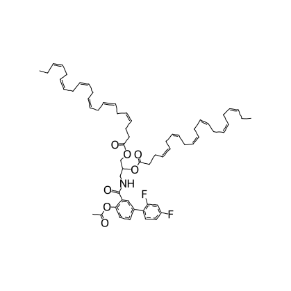 CC/C=C\C/C=C\C/C=C\C/C=C\C/C=C\C/C=C\CCC(=O)OCC(CNC(=O)c1cc(-c2ccc(F)cc2F)ccc1OC(C)=O)OC(=O)CC/C=C\C/C=C\C/C=C\C/C=C\C/C=C\C/C=C\CC